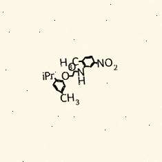 Cc1ccc(C(C)C)c(OCC(=O)Nc2cc([N+](=O)[O-])ccc2C)c1